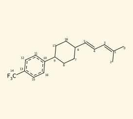 CC(C)=C/C=C/C1CCC(c2ccc(C(F)(F)F)cc2)CC1